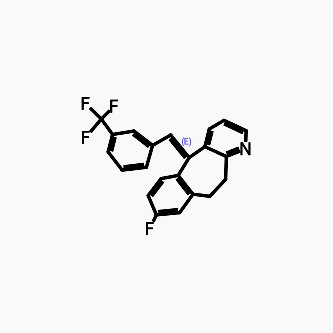 Fc1ccc2c(c1)CCc1ncccc1/C2=C/c1cccc(C(F)(F)F)c1